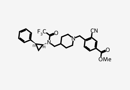 COC(=O)c1ccc(CN2CCC(CN(C(=O)C(F)(F)F)[C@@H]3C[C@H]3c3ccccc3)CC2)c(C#N)c1